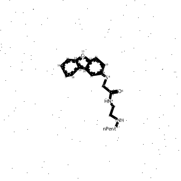 CCCCCNCCNC(=O)CSc1ccc2oc3ccccc3c2c1